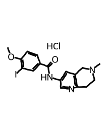 COc1ccc(C(=O)Nc2cnc3c(c2)CN(C)CC3)cc1I.Cl